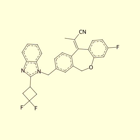 C/C(C#N)=C1\c2ccc(Cn3c(C4CC(F)(F)C4)nc4ccccc43)cc2COc2cc(F)ccc21